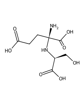 N[C@](CCC(=O)O)(N[C@@H](CO)C(=O)O)C(=O)O